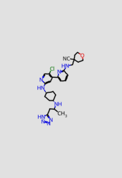 CC(Cc1nnn[nH]1)N[C@H]1CC[C@H](Nc2cc(-c3cccc(NCC4(C#N)CCOCC4)n3)c(Cl)cn2)CC1